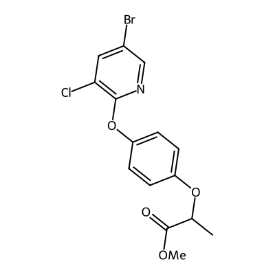 COC(=O)C(C)Oc1ccc(Oc2ncc(Br)cc2Cl)cc1